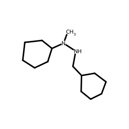 CN(NCC1CCCCC1)C1CCCCC1